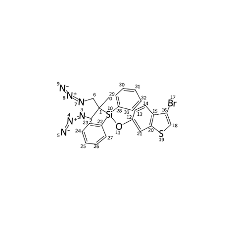 CC(CN=[N+]=[N-])(CN=[N+]=[N-])[Si](Oc1ccc2c(Br)csc2c1)(c1ccccc1)c1ccccc1